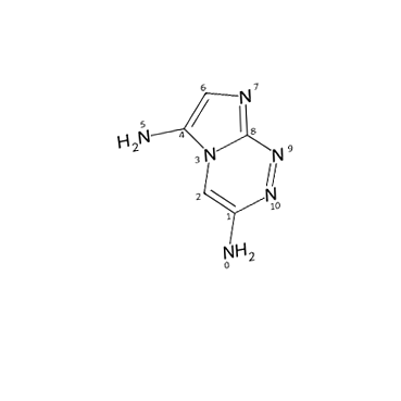 Nc1cn2c(N)cnc2nn1